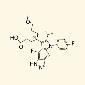 COCCC[C@H](CCC(=O)O)c1c(C(C)C)n(-c2ccc(F)cc2)c2cc3cn[nH]c3c(F)c12